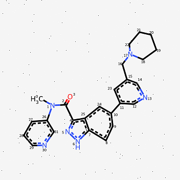 CN(C(=O)c1n[nH]c2ccc(-c3cncc(CN4CCCCC4)c3)cc12)c1cccnc1